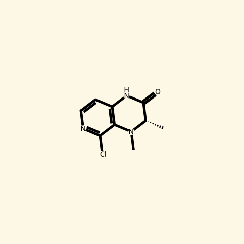 C[C@H]1C(=O)Nc2ccnc(Cl)c2N1C